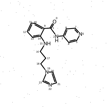 O=C(Nc1ccncc1)c1ccccc1NCCCn1ccnc1